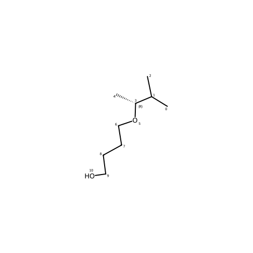 CC(C)[C@@H](C)OCCCCO